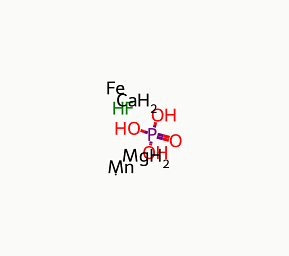 F.O=P(O)(O)O.[CaH2].[Fe].[MgH2].[Mn]